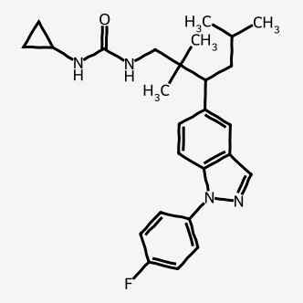 CC(C)CC(c1ccc2c(cnn2-c2ccc(F)cc2)c1)C(C)(C)CNC(=O)NC1CC1